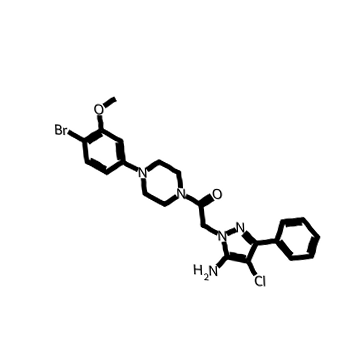 COc1cc(N2CCN(C(=O)Cn3nc(-c4ccccc4)c(Cl)c3N)CC2)ccc1Br